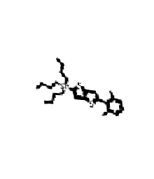 CCC[CH2][Sn]([CH2]CCC)([CH2]CCC)[c]1cc2sc(-c3c(C)cccc3C)cc2s1